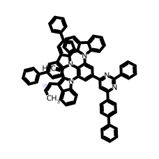 C=Cc1c(/C=C\C)c2ccccc2n1-c1cc(-c2cc(-c3ccc(-c4ccccc4)cc3)nc(-c3ccccc3)n2)cc(-n2c3ccccc3c3ccccc32)c1-n1c2ccc(-c3ccccc3)cc2c2cc(-c3ccccc3)ccc21